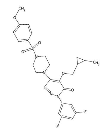 COc1ccc(S(=O)(=O)N2CCN(c3cnn(-c4cc(F)cc(F)c4)c(=O)c3OCC3CC3C)CC2)cc1